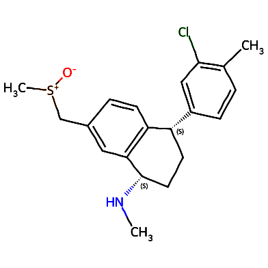 CN[C@H]1CC[C@@H](c2ccc(C)c(Cl)c2)c2ccc(C[S+](C)[O-])cc21